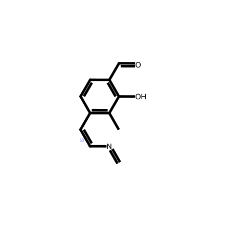 C=N/C=C\c1ccc(C=O)c(O)c1C